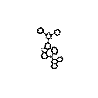 c1ccc(-c2nc(-c3ccccc3)nc(-c3ccc4c(c3)oc3cccc(N(c5ccccc5)c5cc6ccccc6c6ccccc56)c34)n2)cc1